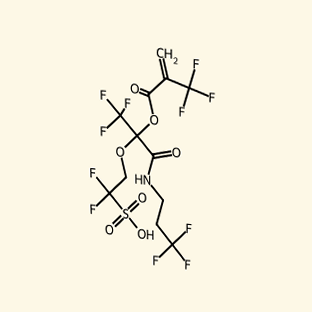 C=C(C(=O)OC(OCC(F)(F)S(=O)(=O)O)(C(=O)NCCC(F)(F)F)C(F)(F)F)C(F)(F)F